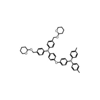 Cc1ccc(N(c2ccc(C)cc2)c2ccc(Oc3ccc(N(c4ccc(COC5CCCCO5)cc4)c4ccc(COC5CCCCO5)cc4)cc3)cc2)cc1